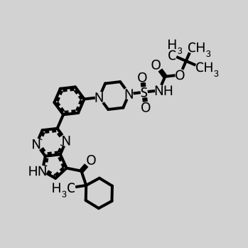 CC(C)(C)OC(=O)NS(=O)(=O)N1CCN(c2cccc(-c3cnc4[nH]cc(C(=O)C5(C)CCCCC5)c4n3)c2)CC1